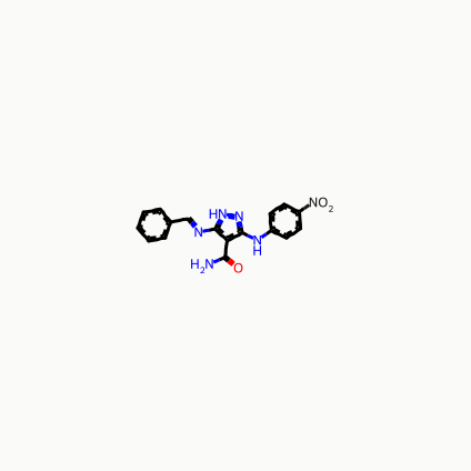 NC(=O)c1c(Nc2ccc([N+](=O)[O-])cc2)n[nH]c1/N=C/c1ccccc1